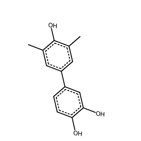 Cc1cc(-c2ccc(O)c(O)c2)cc(C)c1O